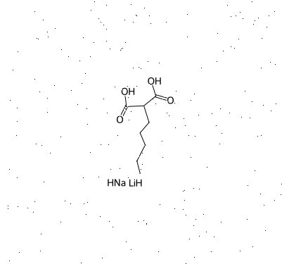 CCCCCC(C(=O)O)C(=O)O.[LiH].[NaH]